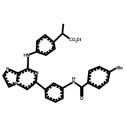 CCOC(=O)C(C)c1ccc(Nc2nc(-c3cccc(NC(=O)c4ccc(C(C)(C)C)cc4)c3)cn3ccnc23)cc1